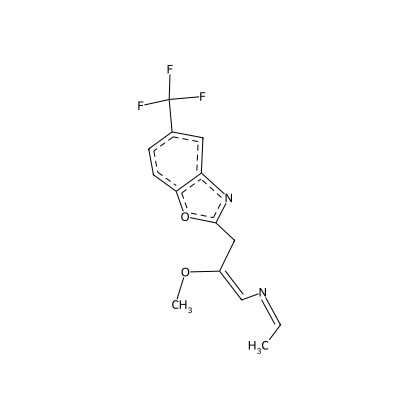 C/C=N\C=C(/Cc1nc2cc(C(F)(F)F)ccc2o1)OC